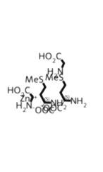 CSCC[C@H](N)C(=O)[O-].CSCC[C@H](N)C(=O)[O-].NCC(=O)O.NCC(=O)O.[Zn+2]